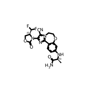 C[C@H](Nc1ccc2c(c1)OCCn1c-2nc(N2C(=O)OC[C@H]2C(F)F)c1C#N)C(N)=O